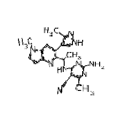 Cc1n[nH]cc1-c1cc2c(ccn2C)nc1C(C)Nc1nc(N)nc(C)c1C#N